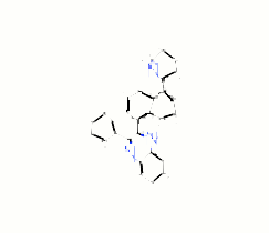 c1ccc(-c2nc3ccccc3nc2-c2cccc3c(-c4ccccn4)cccc23)cc1